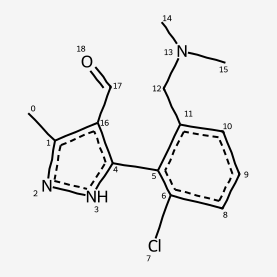 Cc1n[nH]c(-c2c(Cl)cccc2CN(C)C)c1C=O